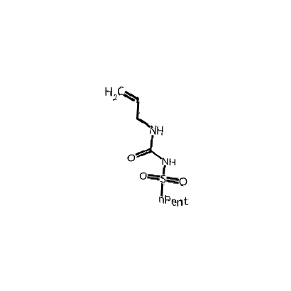 C=CCNC(=O)NS(=O)(=O)CCCCC